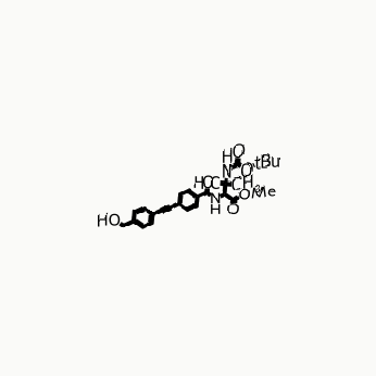 COC(=O)C(NC(=O)c1ccc(C#Cc2ccc(CO)cc2)cc1)C(C)(C)NC(=O)OC(C)(C)C